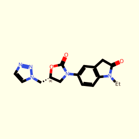 CCN1C(=O)Cc2cc(N3C[C@H](Cn4ccnn4)OC3=O)ccc21